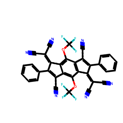 N#CC(C#N)=C1C(c2ccccc2)=C(C#N)c2c(OC(F)(F)F)c3c(c(OC(F)(F)F)c21)C(C#N)=C(c1ccccc1)C3=C(C#N)C#N